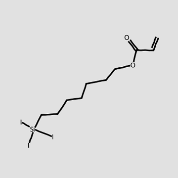 C=CC(=O)OCCCCCCC[Si](I)(I)I